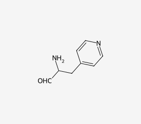 NC(C=O)Cc1ccncc1